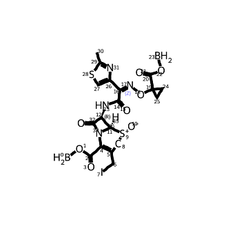 BOC(=O)C1=C(CI)C[S+]([O-])[C@@H]2[C@H](NC(=O)/C(=N\OC3(C(=O)OB)CC3)c3csc(C)n3)C(=O)N12